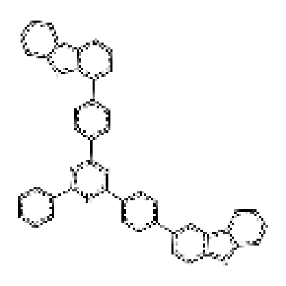 c1ccc(-c2nc(-c3ccc(-c4ccc5sc6ccccc6c5c4)cc3)nc(-c3ccc(-c4cccc5c4sc4ccccc45)cc3)n2)cc1